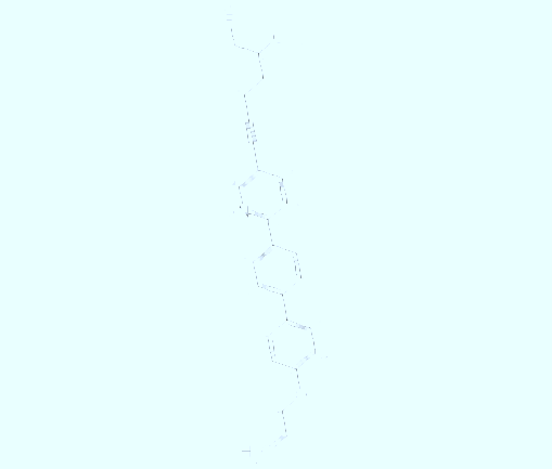 C=CCOc1ccc(-c2ccc(-c3ccc(C#CCCC(C)CF)cn3)cc2)cc1